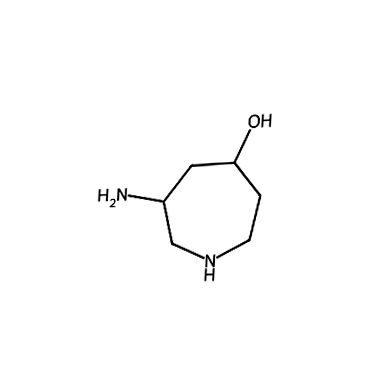 NC1CNCCC(O)C1